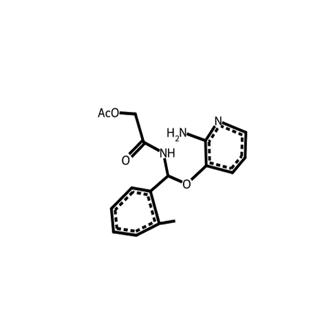 CC(=O)OCC(=O)NC(Oc1cccnc1N)c1ccccc1C